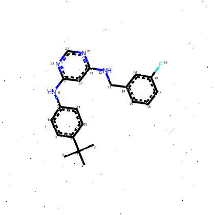 CC(C)(C)c1ccc(Nc2cc(NCc3cccc(F)c3)ncn2)cc1